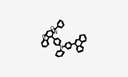 c1ccc(-c2nc3c(-c4ccc(N(c5ccccc5)c5ccc(-c6cc7ccccc7c7ccccc67)cc5)cc4)c4c(cc3o2)oc2ccccc24)cc1